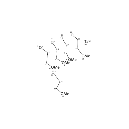 COCC[O-].COCC[O-].COCC[O-].COCC[O-].COCC[O-].[Ta+5]